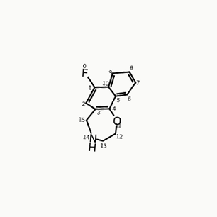 Fc1cc2c(c3ccccc13)OCCNC2